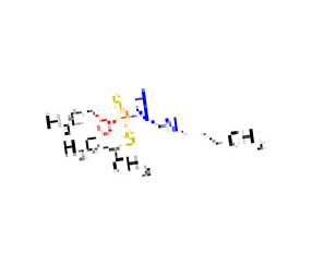 CCCCN=CNP(=S)(OCC)SC(C)C